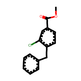 COC(=O)c1ccc(Cc2ccccc2)c(Cl)c1